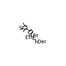 CCCCCCCCCCCC[N+](CC)(CC)c1ccc(C2=C(C)[Si](C)(C)C(C)=C2)s1